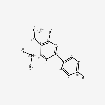 CCOC(=O)Oc1c(CC)nc(-c2ccc(C)cc2)nc1N(CC)CC